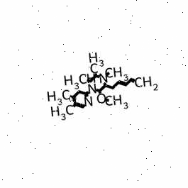 C=CC=CCC(C(NC1=NC=C(C)[C@@H](C)C1)OC)N(C)C(C)CC